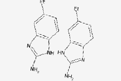 CCc1ccc2[nH]c(N)nc2c1.CCc1ccc2nc(N)[nH]c2c1